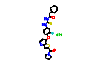 Cl.O=C(CC1CCCCC1)NC(=S)Nc1ccc(Oc2ccnc3cc(C(=O)N4CCCC4)sc23)c(F)c1